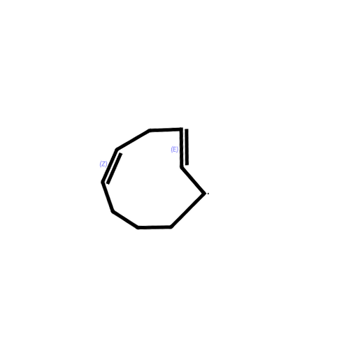 [CH]1/C=C/C/C=C\CCC1